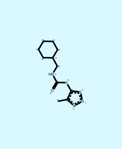 Cc1nnsc1SC(=O)NCC1CCCCC1